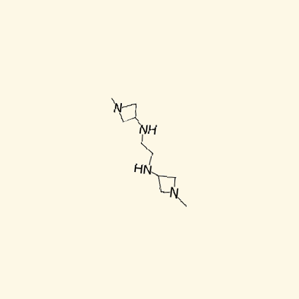 CN1CC(NCCNC2CN(C)C2)C1